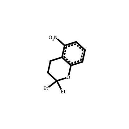 CCC1(CC)C[C]c2c(cccc2[N+](=O)[O-])O1